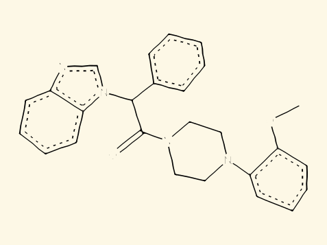 COc1ccccc1N1CCN(C(=O)C(c2ccccc2)n2cnc3ccccc32)CC1